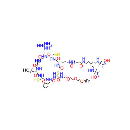 CCCOCCOCCOCCNC(=O)C1NC(=O)[C@H](Cc2ccccc2)NC(=O)[C@H](CS)NC(=O)[C@H](CC(=O)O)NC(=O)CNC(=O)[C@H](CCCNC(=N)N)NC(=O)[C@H](CS)NC(=O)[C@H](CCCCNC(=O)CCCC(=O)NCCC(CCNC(C)(C)/C(C)=N\O)CCNC(C)(C)/C(C)=N\O)NC(=O)CS1